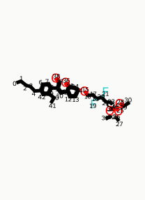 CCCCCc1ccc(-c2cc3ccc(OCCC(F)C(F)CC[Si](OCC)(OCC)OCC)cc3oc2=O)c(CC)c1